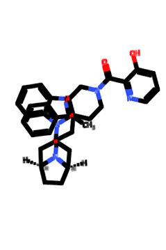 Cc1nc2ccccc2n1C1C[C@H]2CC[C@@H](C1)N2CCC1(c2ccccc2)CCN(C(=O)c2ncccc2O)CC1